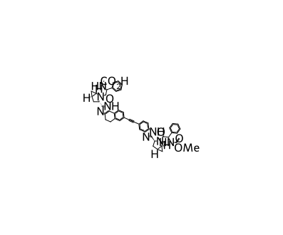 COC(=O)N[C@@H](C(=O)N1[C@@H]2C[C@H]2C[C@H]1c1nc2cc(C#Cc3ccc4c(c3)CCc3nc([C@@H]5C[C@H]6C[C@H]6N5C(=O)[C@H](NC(=O)O)c5ccccc5)[nH]c3-4)ccc2[nH]1)c1ccccc1